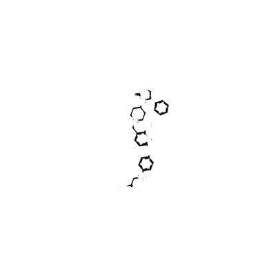 Cc1nc(Oc2ccc(NCC(=O)O)cc2)ccc1CN1CCC(N2C(=O)OC[C@H]2c2ccccc2)CC1